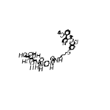 O=C(NCCCCCSc1ccc(Cl)c(COC2(c3cnccc3-c3ccccc3OC3CC3)CC2)c1)N[C@H]1CC[C@H](NC(=O)NC[C@H](O)[C@@H](O)[C@H](O)[C@H](O)CO)CC1